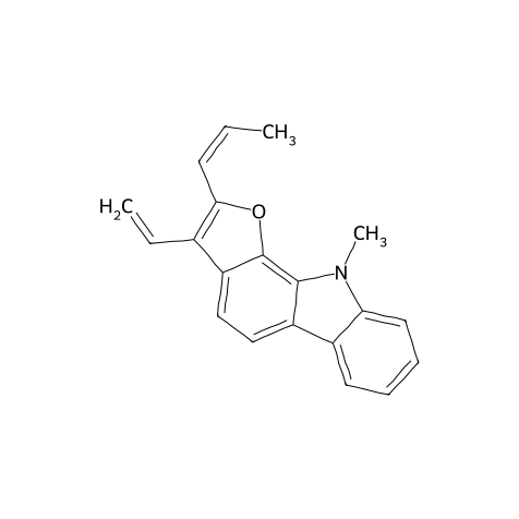 C=Cc1c(/C=C\C)oc2c1ccc1c3ccccc3n(C)c12